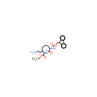 CCOC(=O)C1NC(=O)C(NC(=O)OCC2c3ccccc3-c3ccccc32)CCCCC1CCN